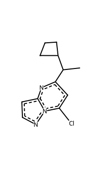 CC(c1cc(Cl)n2nccc2n1)C1CCC1